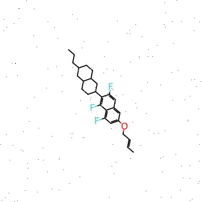 CC=CCOc1cc(F)c2c(F)c(C3CCC4CC(CCC)CCC4C3)c(F)cc2c1